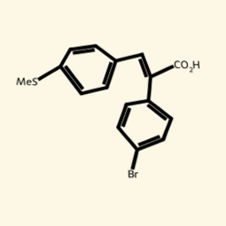 CSc1ccc(/C=C(/C(=O)O)c2ccc(Br)cc2)cc1